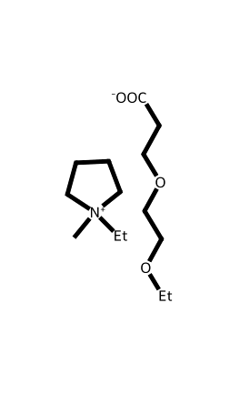 CCOCCOCCC(=O)[O-].CC[N+]1(C)CCCC1